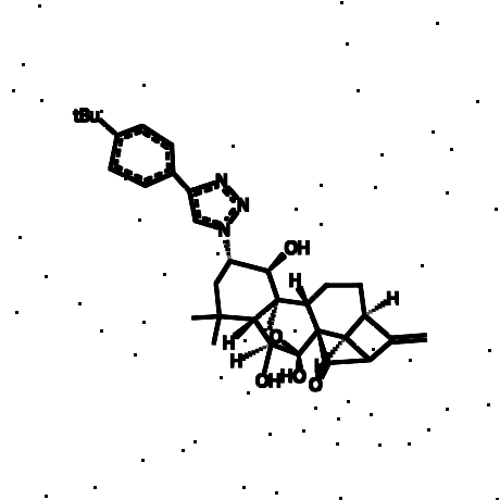 C=C1C2C(=O)[C@]34[C@H]2[C@H]1CC[C@H]3[C@@]12CO[C@]4(O)[C@@H](O)[C@@H]1C(C)(C)C[C@H](n1cc(-c3ccc(C(C)(C)C)cc3)nn1)[C@H]2O